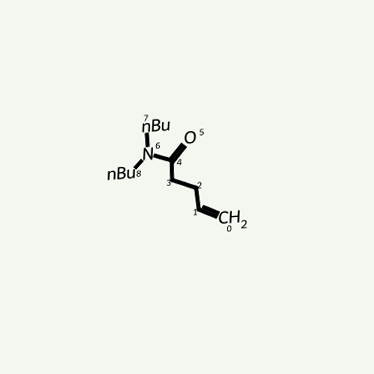 C=CCCC(=O)N(CCCC)CCCC